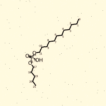 CCCCCCCCCCCCOP(=O)(O)OCCCCC